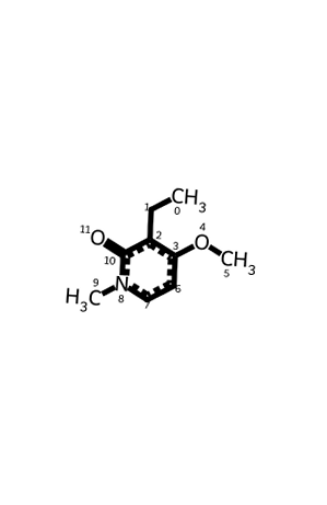 CCc1c(OC)ccn(C)c1=O